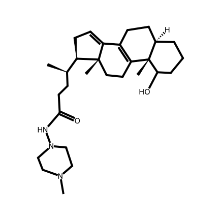 C[C@H](CCC(=O)NN1CCN(C)CC1)[C@H]1CC=C2C3=C(CC[C@@]21C)[C@@]1(C)C(O)CCC[C@@H]1CC3